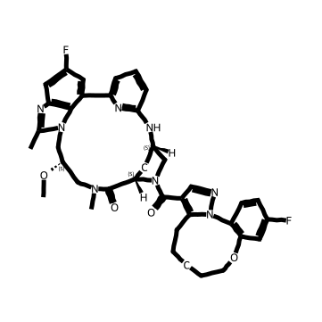 CO[C@H]1CN(C)C(=O)[C@@H]2C[C@@H](CN2C(=O)c2cnn3c2CCCCCOc2cc(F)ccc2-3)Nc2cccc(n2)-c2cc(F)cc3nc(C)n(c23)C1